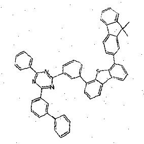 CC1(C)c2ccccc2-c2ccc(-c3cccc4c3sc3c(-c5cccc(-c6nc(-c7ccccc7)nc(-c7cccc(-c8ccccc8)c7)n6)c5)cccc34)cc21